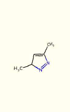 CC1=CC(C)N=N1